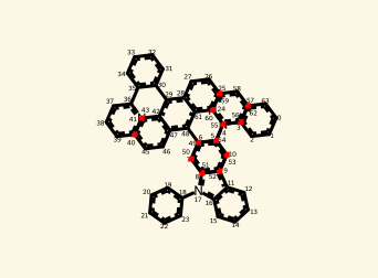 c1ccc(N(c2ccc3c(c2)c2ccccc2n3-c2ccccc2)c2cccc3c(-c4ccccc4-c4ccccn4)c4ccccc4c(-c4ccccc4-c4ccccn4)c23)cc1